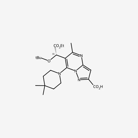 CCOC(=O)[C@@H](OC(C)(C)C)c1c(C)nc2cc(C(=O)O)nn2c1N1CCC(C)(C)CC1